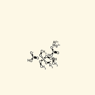 CO.CO[Si](OC)(OC)OC.O=[N+]([O-])O.O=[N+]([O-])O.[Al+3].[Mg+2]